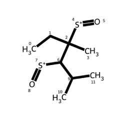 CCC(C)([S+]=O)C([S+]=O)[C](C)C